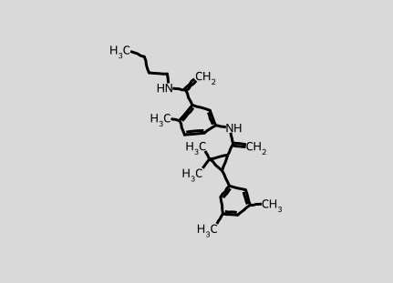 C=C(NCCCC)c1cc(NC(=C)C2C(c3cc(C)cc(C)c3)C2(C)C)ccc1C